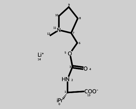 CC(C)[C@H](NC(=O)OCC1CCCN1C)C(=O)[O-].[Li+]